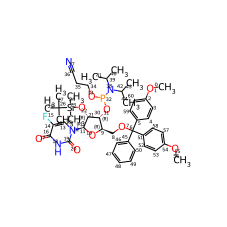 COc1ccc(C(OC[C@H]2O[C@@H](n3cc(F)c(=O)[nH]c3=O)[C@H](O[Si](C)(C)C(C)(C)C)[C@@H]2OP(OCCC#N)N(C(C)C)C(C)C)(c2ccccc2)c2ccc(OC)cc2)cc1